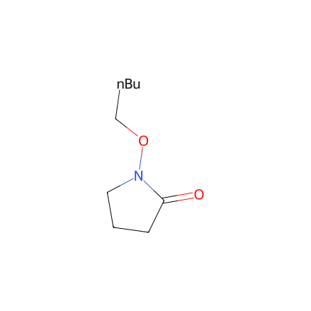 CCCCCON1CCCC1=O